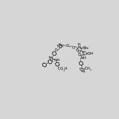 Cc1ncsc1-c1ccc(CNC(=O)[C@@H]2C[C@@H](O)CN2C(=O)[C@@H](NC(=O)COCCOCCn2cc(COc3ccc(-c4nc5cc(-c6ccccc6)ccn5c4Nc4ccc(C(=O)O)cc4)cc3)nn2)C(C)(C)C)cc1